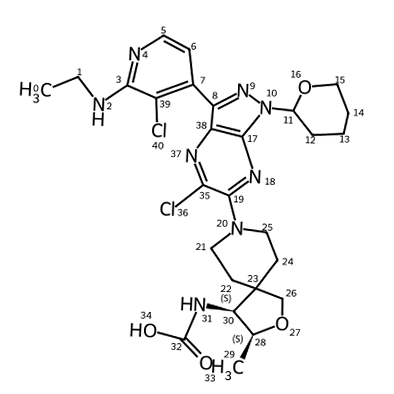 CCNc1nccc(-c2nn(C3CCCCO3)c3nc(N4CCC5(CC4)CO[C@@H](C)[C@H]5NC(=O)O)c(Cl)nc23)c1Cl